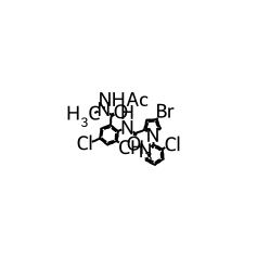 CC(=O)NN(C)C(=O)c1cc(Cl)cc(C)c1NC(=O)c1cc(Br)cn1-c1ncccc1Cl